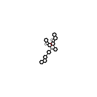 c1ccc(N(c2ccc(-c3ccc4c(ccc5ccccc54)c3)cc2)c2ccc3c(c2)oc2ccccc23)c(-c2ccc3oc4c5ccccc5ccc4c3c2)c1